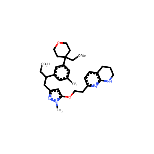 COCC1(c2cc(C(CC(=O)O)Cc3cc(OCCc4ccc5c(n4)NCCC5)n(C)n3)cc(C(F)(F)F)c2)CCOCC1